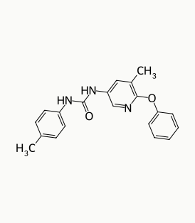 Cc1ccc(NC(=O)Nc2cnc(Oc3ccccc3)c(C)c2)cc1